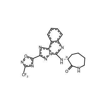 O=C1NCCCC[C@H]1Nc1nc2ccccc2c2nc(-c3nc(C(F)(F)F)no3)nn12